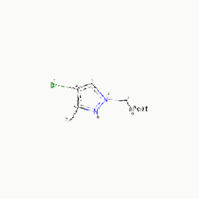 CCCCCCn1cc(Br)c(C)n1